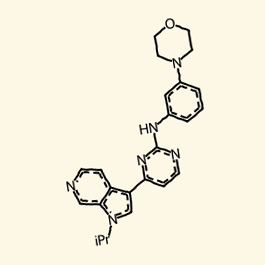 CC(C)n1cc(-c2ccnc(Nc3cccc(N4CCOCC4)c3)n2)c2ccncc21